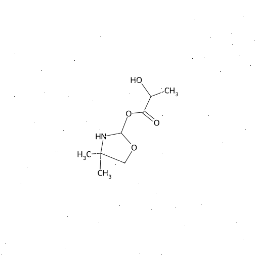 CC(O)C(=O)OC1NC(C)(C)CO1